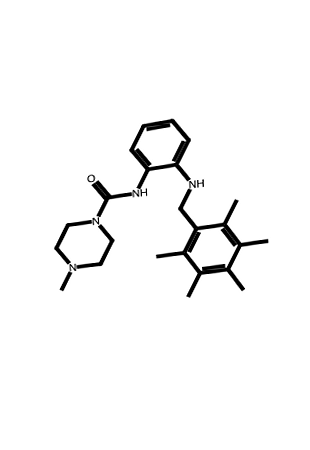 Cc1c(C)c(C)c(CNc2ccccc2NC(=O)N2CCN(C)CC2)c(C)c1C